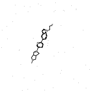 CN1CC2CN(c3ccc(-c4ccc5c(ccn5CCF)c4)nc3)CC2C1